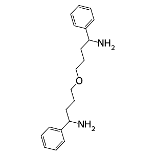 NC(CCCOCCCC(N)c1ccccc1)c1ccccc1